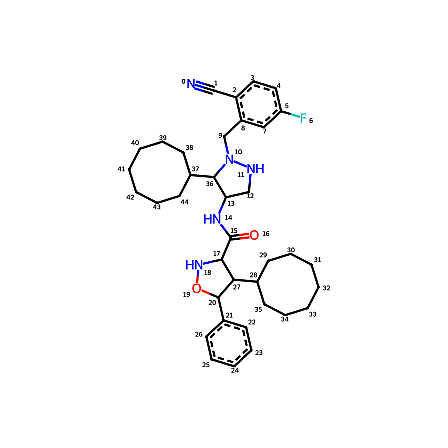 N#Cc1ccc(F)cc1CN1NCC(NC(=O)C2NOC(c3ccccc3)C2C2CCCCCCC2)C1C1CCCCCCC1